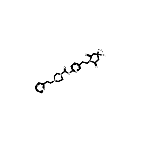 CC1(C)CC(=O)N(CCc2ccc(OC(=O)N3CCN(CCc4ccccn4)CC3)nc2)C(=O)C1